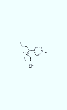 CC=CC(c1ccc(C)cc1)[N+](C)(CC)CC.[Cl-]